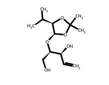 C=C[C@H](O)[C@@H](CO)O[C@@H]1OC(C)(C)O[C@@H]1C(C)C